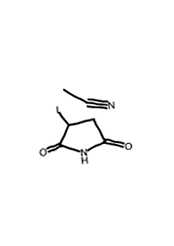 CC#N.O=C1CC(I)C(=O)N1